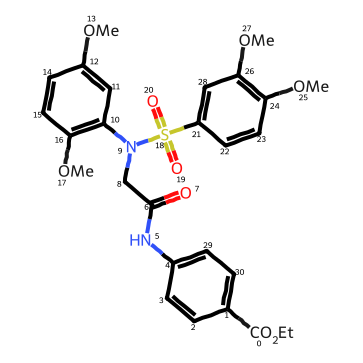 CCOC(=O)c1ccc(NC(=O)CN(c2cc(OC)ccc2OC)S(=O)(=O)c2ccc(OC)c(OC)c2)cc1